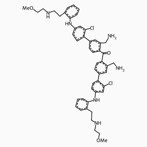 COCCNCCc1ccccc1Nc1ccc(-c2ccc(C(=O)c3ccc(-c4ccc(Nc5ccccc5CCNCCOC)cc4Cl)cc3CN)c(CN)c2)c(Cl)c1